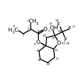 CCC(C)C(=O)OC12CCCCC1OC(O)(C(F)(F)F)C2